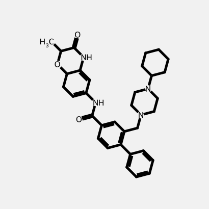 CC1OC2CC=C(NC(=O)c3ccc(-c4ccccc4)c(CN4CCN(C5CCCCC5)CC4)c3)C=C2NC1=O